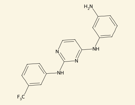 Nc1cccc(Nc2ccnc(Nc3cccc(C(F)(F)F)c3)n2)c1